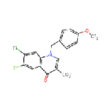 O=C(O)c1cn(Cc2ccc(OC(F)(F)F)cc2)c2cc(Cl)c(F)cc2c1=O